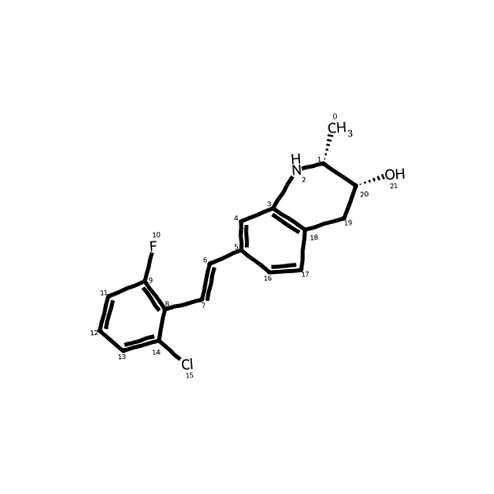 C[C@H]1Nc2cc(/C=C/c3c(F)cccc3Cl)ccc2C[C@H]1O